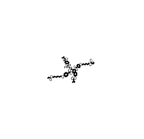 C=CC(=O)OCCCCCCOc1ccc(C(=O)Oc2cc(/C=N/Nc3nc4ccc(OC(=O)C(=C)C)cc4s3)c(OC(=O)c3ccc(OCCCCCCOC(=O)C=C)cc3)c3cc(OC(=O)C(=C)C)ccc23)cc1